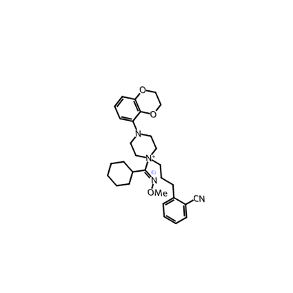 CO/N=C(\C1CCCCC1)[N+]1(CCCc2ccccc2C#N)CCN(c2cccc3c2OCCO3)CC1